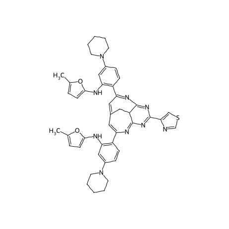 Cc1ccc(Nc2cc(N3CCCCC3)ccc2C2=CC3=CC(c4ccc(N5CCCCC5)cc4Nc4ccc(C)o4)=NC4=NC(c5cscn5)=NC(=N2)C4C3)o1